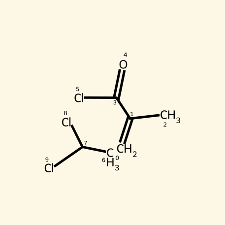 C=C(C)C(=O)Cl.CC(Cl)Cl